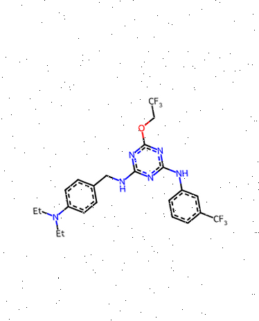 CCN(CC)c1ccc(CNc2nc(Nc3cccc(C(F)(F)F)c3)nc(OCC(F)(F)F)n2)cc1